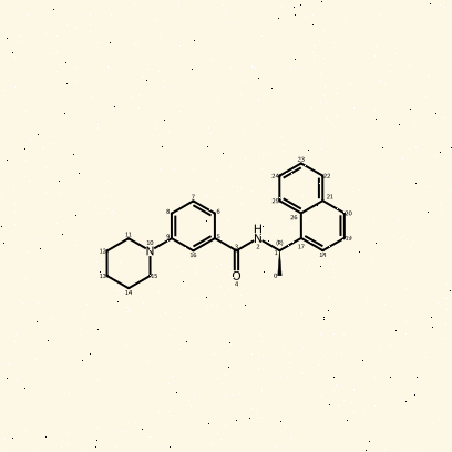 C[C@@H](NC(=O)c1cccc(N2CCCCC2)c1)c1cccc2ccccc12